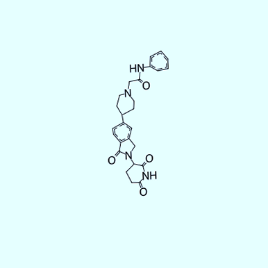 O=C1CCC(N2Cc3cc(C4CCN(CC(=O)Nc5ccccc5)CC4)ccc3C2=O)C(=O)N1